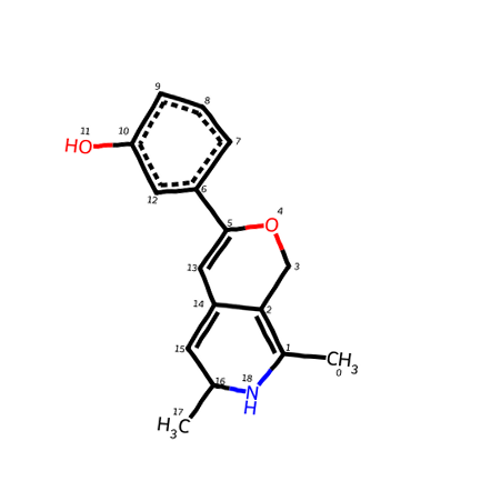 CC1=C2COC(c3cccc(O)c3)=CC2=CC(C)N1